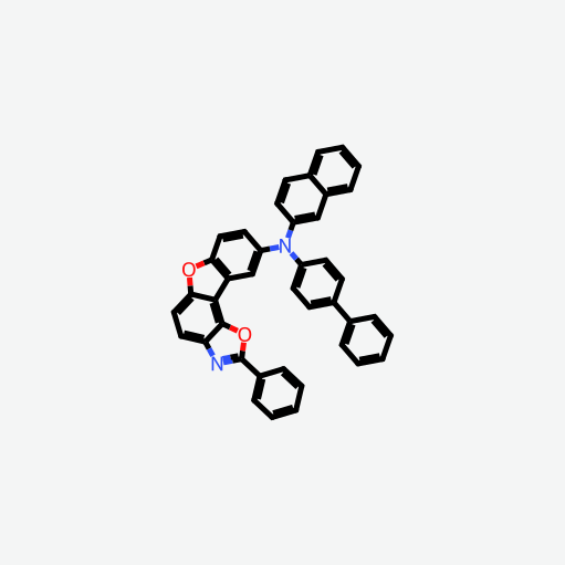 c1ccc(-c2ccc(N(c3ccc4ccccc4c3)c3ccc4oc5ccc6nc(-c7ccccc7)oc6c5c4c3)cc2)cc1